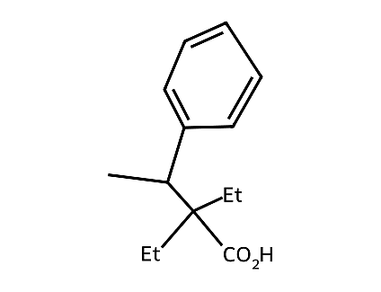 CCC(CC)(C(=O)O)C(C)c1ccccc1